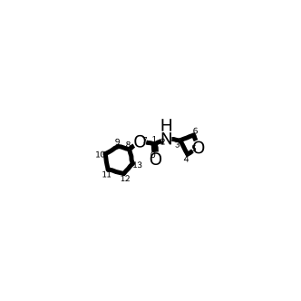 O=C(NC1COC1)OC1CCCCC1